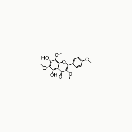 COc1ccc(-c2oc3c(OC)c(O)c(OC)c(O)c3c(=O)c2OC)cc1